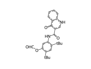 CC(C)(C)c1cc(C(C)(C)C)c(OC=O)cc1NC(=O)c1c[nH]c2ccccc2c1=O